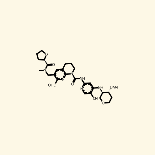 CO[C@@H]1CCOC[C@H]1Nc1cc(NC(=O)N2CCCc3cc(CN(C)C(=O)[C@H]4CCCO4)c(C=O)nc32)ncc1C#N